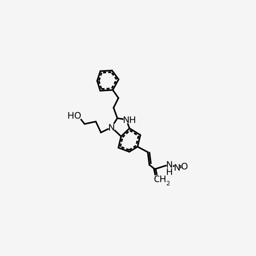 C=C(/C=C/c1ccc2c(c1)NC(CCc1ccccc1)N2CCCO)NN=O